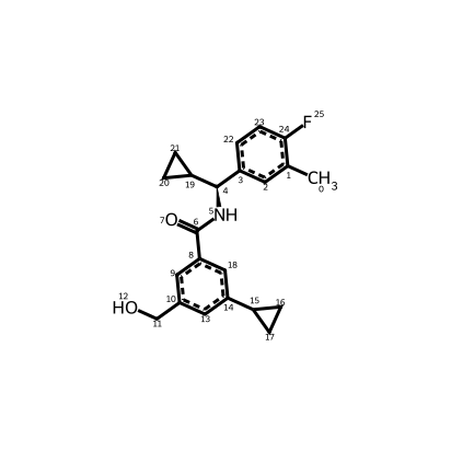 Cc1cc([C@@H](NC(=O)c2cc(CO)cc(C3CC3)c2)C2CC2)ccc1F